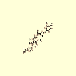 CN1CCC(c2cnn(C(F)F)c2)NC1NC12CC(NC(=O)COc3ccc(Cl)c(F)c3)(C1)C2